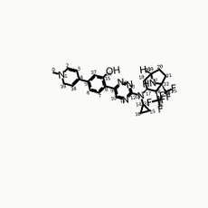 CN1C=CC(c2ccc(-c3cnc(N(C4CC4)[C@H]4C[C@@H]5CC[C@@](C(F)(F)F)(N5)[C@H]4C(F)(F)F)nn3)c(O)c2)=CC1